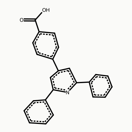 O=C(O)c1ccc(-c2cc(-c3ccccc3)nc(-c3ccccc3)c2)cc1